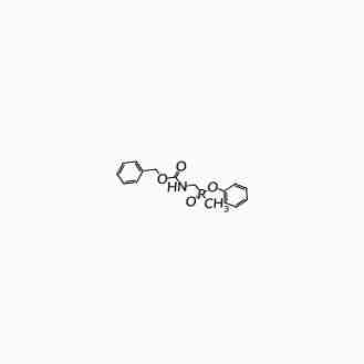 CP(=O)(CNC(=O)OCc1ccccc1)Oc1ccccc1